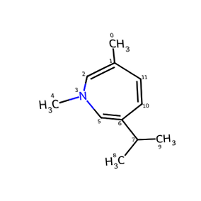 CC1=CN(C)C=C(C(C)C)C=C1